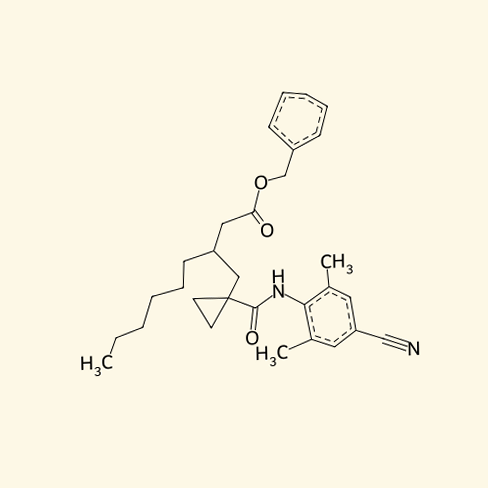 CCCCCCC(CC(=O)OCc1ccccc1)CC1(C(=O)Nc2c(C)cc(C#N)cc2C)CC1